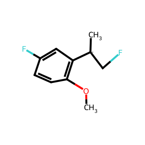 COc1ccc(F)cc1[C](C)CF